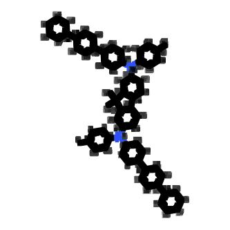 Cc1ccc(N(c2ccc(-c3ccc(-c4ccccc4)cc3)cc2)c2ccc3c(c2)C(C)(C)c2cc(N(c4ccc(C)cc4)c4ccc(-c5ccc(-c6ccccc6)cc5)cc4)ccc2-3)cc1